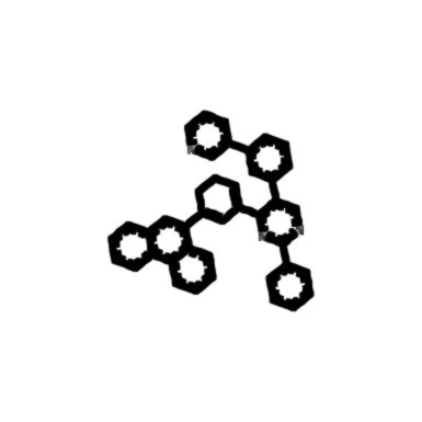 C1=C(c2nc(-c3ccccc3)ncc2-c2cccc(-c3cccnc3)c2)C=C(c2cc3ccccc3c3ccccc23)CC1